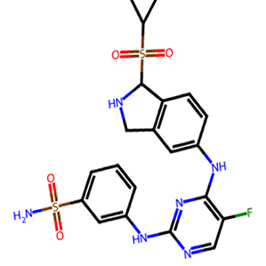 NS(=O)(=O)c1cccc(Nc2ncc(F)c(Nc3ccc4c(c3)CNC4S(=O)(=O)C3CC3)n2)c1